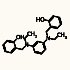 CCN(Cc1ccccc1O)c1cccc(N(CC)Cc2ccccc2O)c1